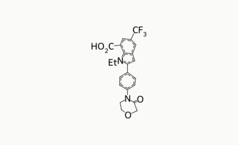 CCn1c(-c2ccc(N3CCOCC3=O)cc2)cc2cc(C(F)(F)F)cc(C(=O)O)c21